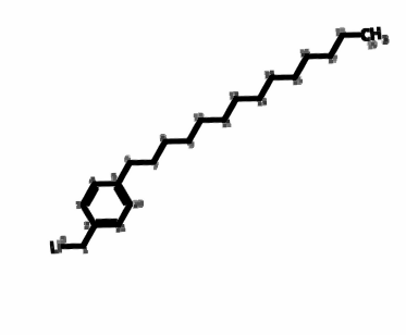 [Li][CH2]c1ccc(CCCCCCCCCCCCCC)cc1